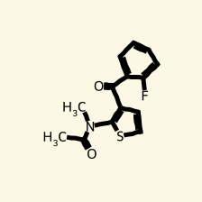 CC(=O)N(C)c1sccc1C(=O)c1ccccc1F